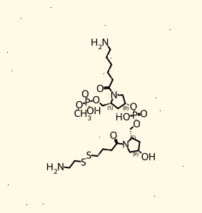 COP(=O)(O)OC[C@@H]1C[C@@H](OP(=O)(O)OC[C@@H]2C[C@@H](O)CN2C(=O)CCCSSCCN)CN1C(=O)CCCCCN